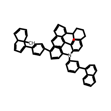 CC12C=CC=CC1C=CC=C2c1ccc(-c2ccc(N(c3cccc(-c4cccc5ccccc45)c3)c3ccccc3-c3cccc4cccc(C5CCCCC5)c34)cc2)cc1